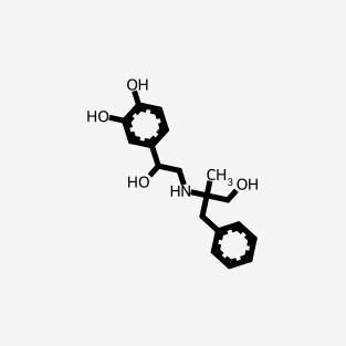 CC(CO)(Cc1ccccc1)NCC(O)c1ccc(O)c(O)c1